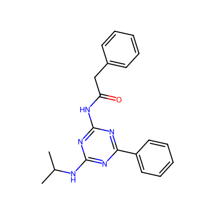 CC(C)Nc1nc(NC(=O)Cc2ccccc2)nc(-c2ccccc2)n1